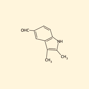 Cc1[nH]c2ccc(C=O)cc2c1C